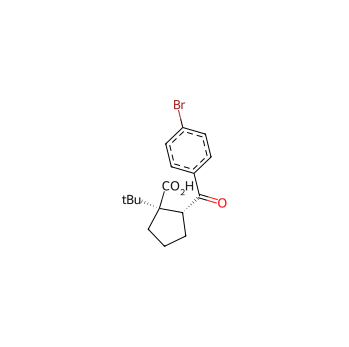 CC(C)(C)[C@@]1(C(=O)O)CCC[C@H]1C(=O)c1ccc(Br)cc1